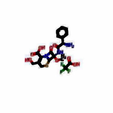 CO[C@]1(NC(=O)C(N)c2ccccc2)C(=O)N2C(C(=O)O)=C(CO)CSC21.O=C(O)C(F)(F)F